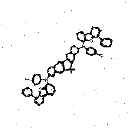 CC1(C)c2cc3cc(N(c4ccc(F)cc4)c4cccc5c4oc4c(-c6ccccc6)cccc45)ccc3cc2-c2cc3ccc(N(c4ccc(F)cc4)c4cccc5c4oc4c(-c6ccccc6)cccc45)cc3cc21